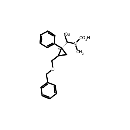 CN(C(=O)O)C(C(C)(C)C)[C@]1(c2ccccc2)CC1COCc1ccccc1